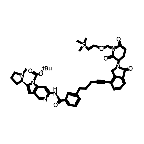 CN1CCC[C@@H]1c1cc2cnc(NC(=O)c3cccc(CCCC#Cc4cccc5c4CN(C4CCC(=O)N(COCC[Si](C)(C)C)C4=O)C5=O)c3)cc2n1C(=O)OC(C)(C)C